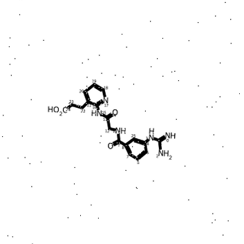 N=C(N)Nc1cccc(C(=O)NCC(=O)Nc2ncccc2CCC(=O)O)c1